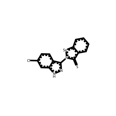 S=c1c2ccccc2[se]n1-c1n[nH]c2cc(Cl)ccc12